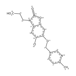 Cc1ccc(COc2cc3oc(=O)n(CCC(=O)O)c3cc2Cl)cn1